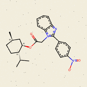 CC(C)[C@@H]1CC[C@@H](C)C[C@H]1OC(=O)Cn1c(-c2ccc([N+](=O)[O-])cc2)nc2ccccc21